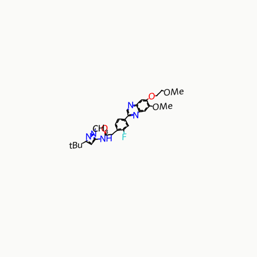 COCCOc1cc2ncc(-c3ccc(CC(=O)Nc4cc(C(C)(C)C)nn4C)c(F)c3)nc2cc1OC